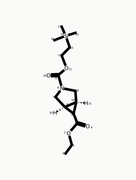 CCOC(=O)C1[C@H]2CN(C(=O)OCC[Si](C)(C)C)C[C@@H]12